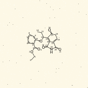 CCOC(=O)c1ccccc1OC(CC)C1=C2C(=O)NC(=O)C2=CCC1=O